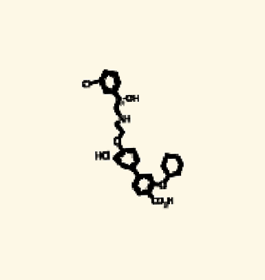 Cl.O=C(O)c1ccc(-c2ccc(OCCNC[C@@H](O)c3cccc(Cl)c3)cc2)cc1OC1CCCCC1